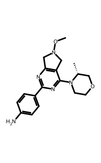 CON1Cc2nc(-c3ccc(N)cc3)nc(N3CCOC[C@H]3C)c2C1